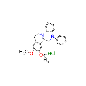 COc1cc2c(cc1OC)C(CN(c1ccccc1)c1ccccc1)=NCC2.Cl